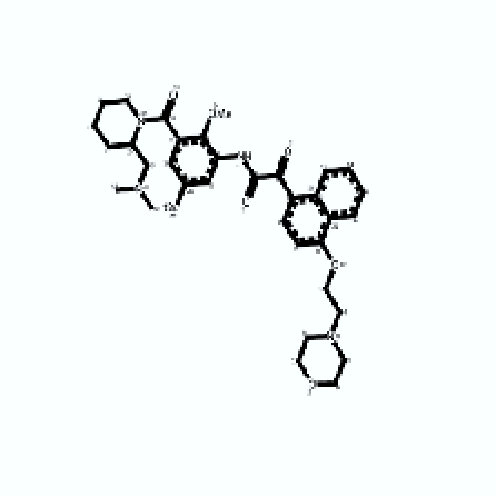 COc1c(NC(=O)C(=O)c2ccc(OCCN3CCOCC3)c3ccccc23)cc(C(C)(C)C)cc1C(=O)N1CCCCC1CN(C)C